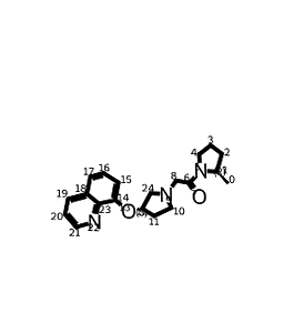 C[C@@H]1CCCN1C(=O)CN1CC[C@H](Oc2cccc3cccnc23)C1